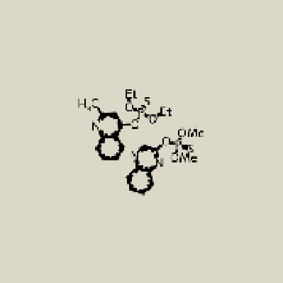 CCOP(=S)(OCC)Oc1cc(C)nc2ccccc12.COP(=S)(OC)Oc1cnc2ccccc2n1